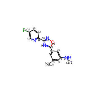 CCNc1cc(C#N)cc(-c2nc(-c3ccc(F)cn3)no2)c1